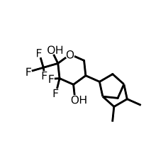 CC1C2CC(C1C)C(C1COC(O)(C(F)(F)F)C(F)(F)C1O)C2